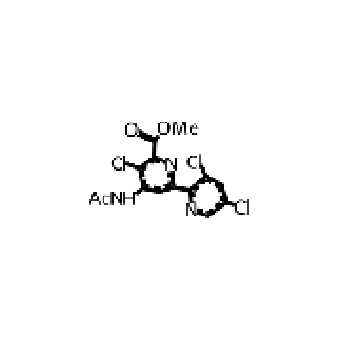 COC(=O)c1nc(-c2ncc(Cl)cc2Cl)cc(NC(C)=O)c1Cl